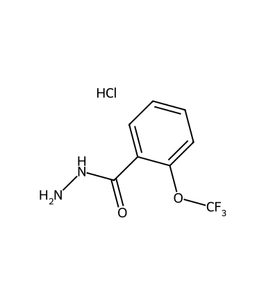 Cl.NNC(=O)c1ccccc1OC(F)(F)F